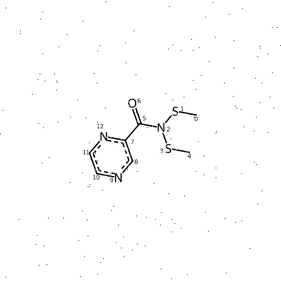 CSN(SC)C(=O)c1cnccn1